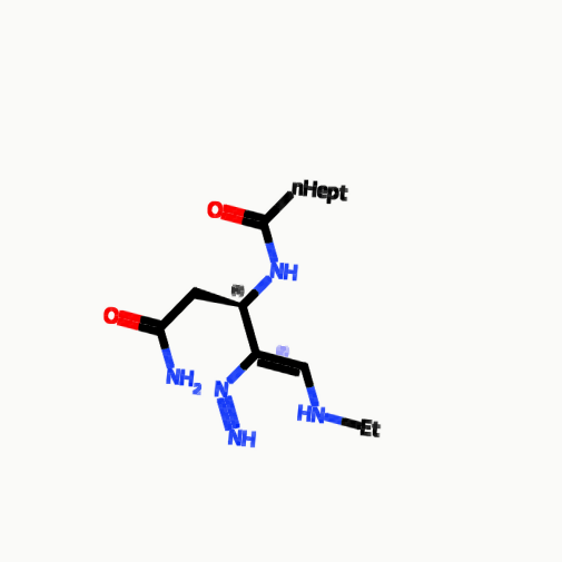 CCCCCCCC(=O)N[C@H](CC(N)=O)/C(=C/NCC)N=N